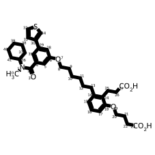 CN(C(=O)c1cc(OCCCCCCc2cccc(OCCCC(=O)O)c2CCC(=O)O)cc(-c2ccsc2)c1)C1CCCCC1